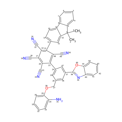 CC1(C)c2ccccc2-c2ccc(-c3c(C#N)c(C#N)c(C#N)c(-c4cc(COc5ccccc5N)cc(-c5nc6ccccc6o5)c4)c3C#N)cc21